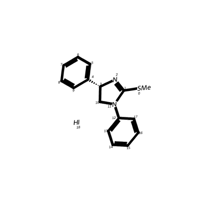 CSC1=N[C@@H](c2ccccc2)CN1c1ccccc1.I